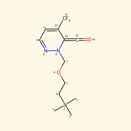 C[Si](C)(C)CCOCN1N=CC=C(C(F)(F)F)C1=C=O